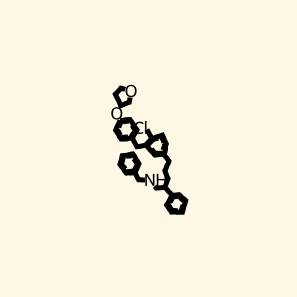 Clc1ccc(CCCC(CNCc2ccccc2)c2ccccc2)cc1Cc1ccc(O[C@H]2CCOC2)cc1